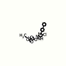 C=CCO[C@@H]1COC2[C@H](Oc3nc4nc(-c5ccc(-c6ccccc6)cc5)c(Cl)cc4[nH]3)CO[C@@H]21